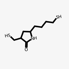 O=C1NC(CCCCS)CC1CS